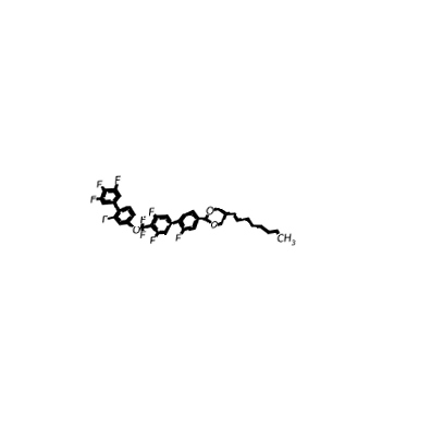 CCCCCCCCC1COC(c2ccc(-c3cc(F)c(C(F)(F)Oc4ccc(-c5cc(F)c(F)c(F)c5)c(F)c4)c(F)c3)c(F)c2)OC1